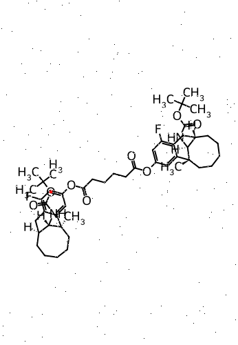 CC(C)(C)OC(=O)N[C@H]1[C@H]2CCCCC[C@]1(C)c1cc(OC(=O)CCCCC(=O)Oc3cc(F)c4c(c3)[C@@]3(C)CCCCC[C@@H](C4)[C@@H]3NC(=O)OC(C)(C)C)cc(F)c1C2